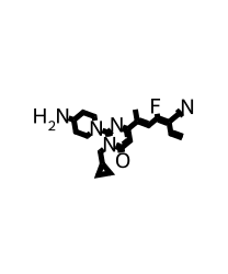 C=C/C(C#N)=C(F)\C=C(/C)c1cc(=O)n(CC2CC2)c(N2CCC(N)CC2)n1